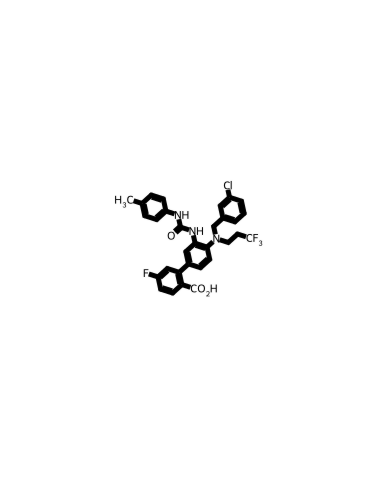 Cc1ccc(NC(=O)Nc2cc(-c3cc(F)ccc3C(=O)O)ccc2N(CCC(F)(F)F)Cc2cccc(Cl)c2)cc1